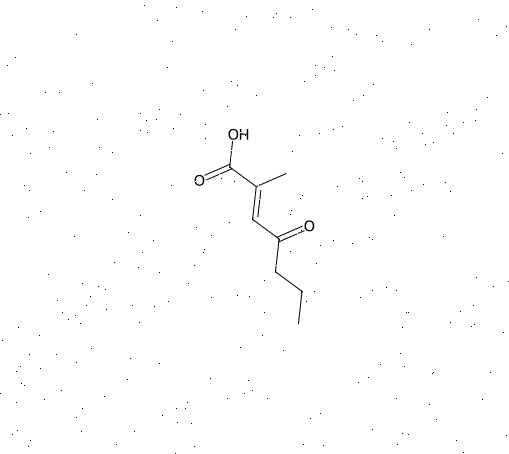 CCCC(=O)/C=C(\C)C(=O)O